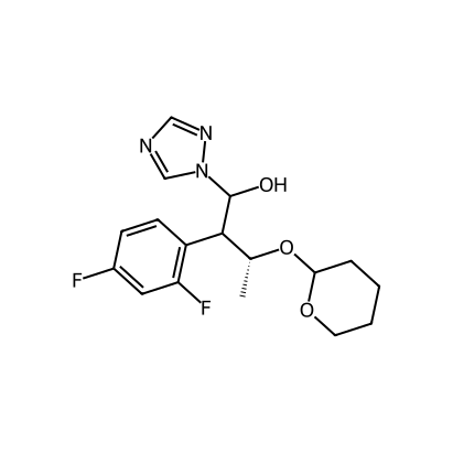 C[C@@H](OC1CCCCO1)C(c1ccc(F)cc1F)C(O)n1cncn1